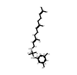 CC(C)=CCC/C(C)=C/CC/C(C)=C/CSC(C)(C)Sc1cc(C)[c]c(C)c1